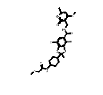 COCC(=O)NC1CCC(C2(C)Oc3c(Cl)cc(C(=O)NCc4c(SC)cc(C)[nH]c4=O)c(C)c3O2)CC1